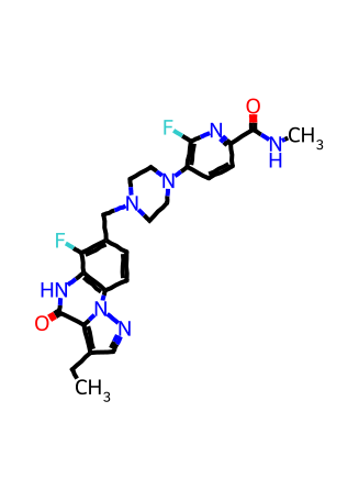 CCc1cnn2c1c(=O)[nH]c1c(F)c(CN3CCN(c4ccc(C(=O)NC)nc4F)CC3)ccc12